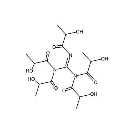 CC(O)C(=O)N=C(N(C(=O)C(C)O)C(=O)C(C)O)N(C(=O)C(C)O)C(=O)C(C)O